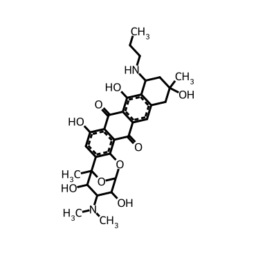 CCCNC1CC(C)(O)Cc2cc3c(c(O)c21)C(=O)c1c(O)cc2c(c1C3=O)OC1OC2(C)C(O)C(N(C)C)C1O